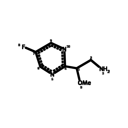 COC(CN)c1ncc(F)cn1